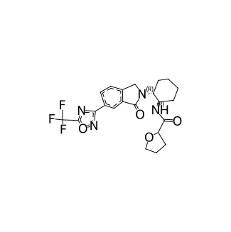 O=C(N[C@@H]1CCCC[C@H]1N1Cc2ccc(-c3noc(C(F)(F)F)n3)cc2C1=O)C1CCCO1